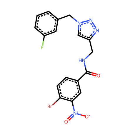 O=C(NCc1cn(Cc2cccc(F)c2)nn1)c1ccc(Br)c([N+](=O)[O-])c1